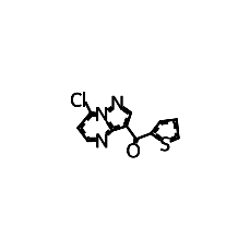 O=C(c1cccs1)c1cnn2c(Cl)ccnc12